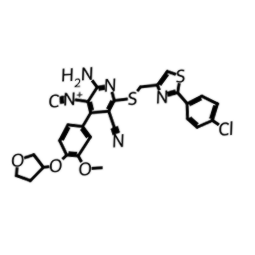 [C-]#[N+]c1c(N)nc(SCc2csc(-c3ccc(Cl)cc3)n2)c(C#N)c1-c1ccc(OC2CCOC2)c(OC)c1